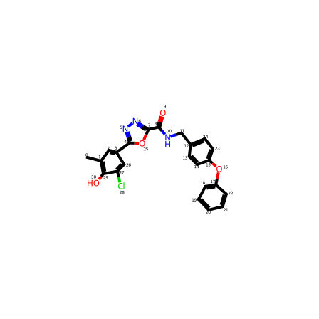 Cc1cc(-c2nnc(C(=O)NCc3ccc(Oc4ccccc4)cc3)o2)cc(Cl)c1O